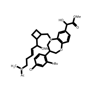 CCCCc1cc(Cl)ccc1C1COc2ccc(C(O)C(=O)OC)cc2N(CC2CCC2C(/C=C/CCN(C)C(C)=O)OC)C1